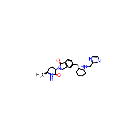 C=C1CCC(N2Cc3cc(C[C@H]4CCCC[C@@H]4NCc4cnccn4)ccc3C2=O)C(=O)N1